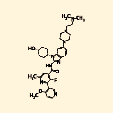 COc1ccncc1-c1nc(C)cc(C(=O)Nc2nc3ccc(N4CCN(CCN(C)C)CC4)cc3n2[C@H]2CC[C@@H](O)CC2)c1F